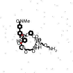 CNC(=O)c1ccc(-c2ccc(C[C@@H]3NC(=O)[C@]4(Cc5ccccc5)CCCN(C4)C(=O)/C=C/C(=O)NCC[C@@H](C(=O)NCCOCCN)NC(=O)Cc4ccccc4CNC3=O)cc2)cc1